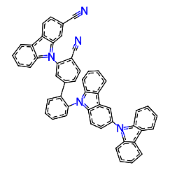 N#Cc1ccc2c3ccccc3n(-c3cc(-c4ccccc4-n4c5ccccc5c5cc(-n6c7ccccc7c7ccccc76)ccc54)ccc3C#N)c2c1